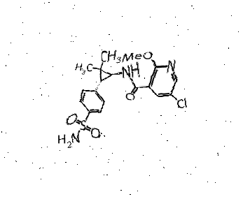 COc1ncc(Cl)cc1C(=O)N[C@H]1[C@H](c2ccc(S(N)(=O)=O)cc2)C1(C)C